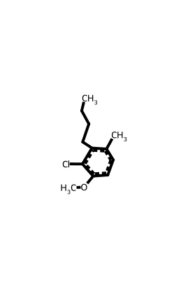 CCCCc1c(C)ccc(OC)c1Cl